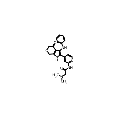 CN(C)CC(=O)Nc1cc(-c2[nH]c3c(c2Nc2ccccc2)C(=O)COC3)ccn1